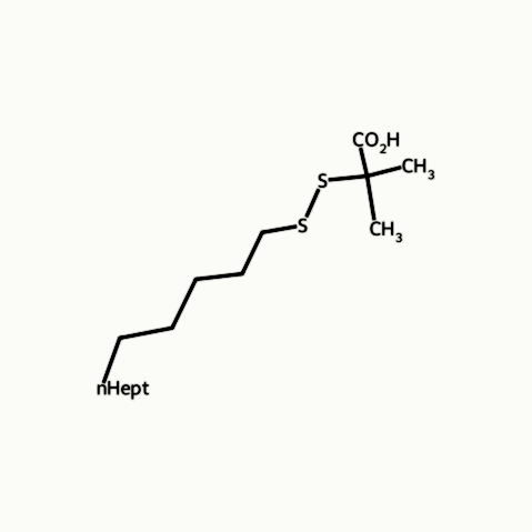 CCCCCCCCCCCCSSC(C)(C)C(=O)O